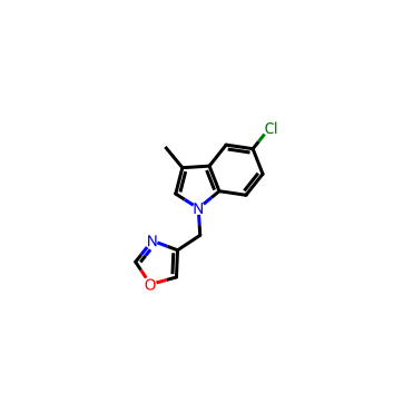 Cc1cn(Cc2cocn2)c2ccc(Cl)cc12